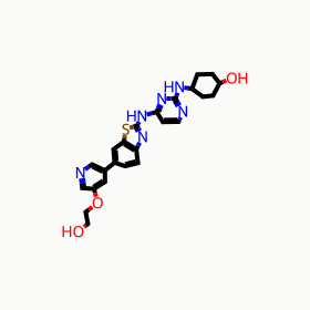 OCCOc1cncc(-c2ccc3nc(Nc4ccnc(NC5CCC(O)CC5)n4)sc3c2)c1